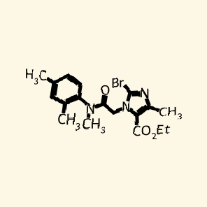 CCOC(=O)c1c(C)nc(Br)n1CC(=O)N(C)c1ccc(C)cc1C